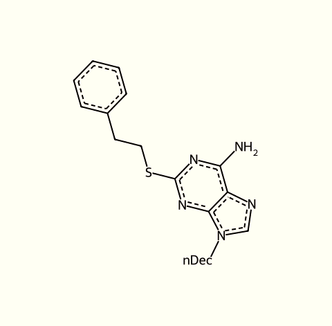 CCCCCCCCCCn1cnc2c(N)nc(SCCc3ccccc3)nc21